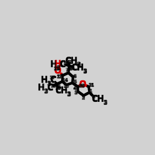 CC1CCC(C2CC(C(C)(C)C)C(O)C(C(C)(C)C)C2)OC1